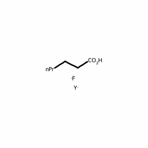 CCCCCC(=O)O.[F].[Y]